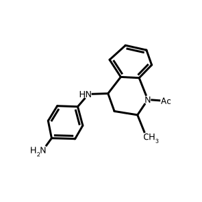 CC(=O)N1c2ccccc2C(Nc2ccc(N)cc2)CC1C